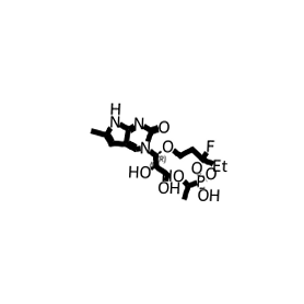 CCC(F)(CCO[C@H]([C@H](O)CO)n1cc2cc(C)[nH]c2nc1=O)OP(=O)(O)C(C)O